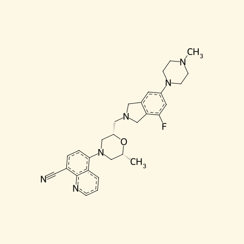 C[C@@H]1CN(c2ccc(C#N)c3ncccc23)C[C@H](CN2Cc3cc(N4CCN(C)CC4)cc(F)c3C2)O1